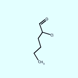 CCCC[C](Cl)C=O